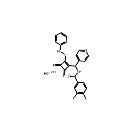 CC(NC(c1ccncc1)c1c(ONc2ccccc2)c(=O)c1=O)c1ccc(F)c(F)c1.Cl.Cl